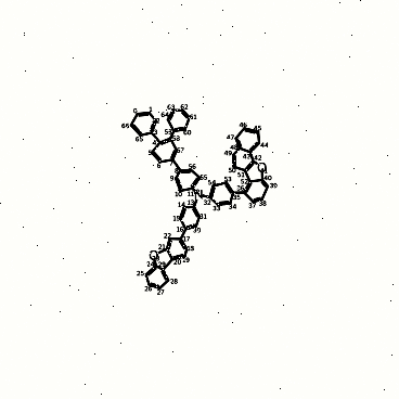 c1ccc(-c2ccc(-c3ccc(N(c4ccc(-c5ccc6c(c5)oc5ccccc56)cc4)c4ccc(-c5cccc6oc7c8ccccc8ccc7c56)cc4)cc3)cc2-c2ccccc2)cc1